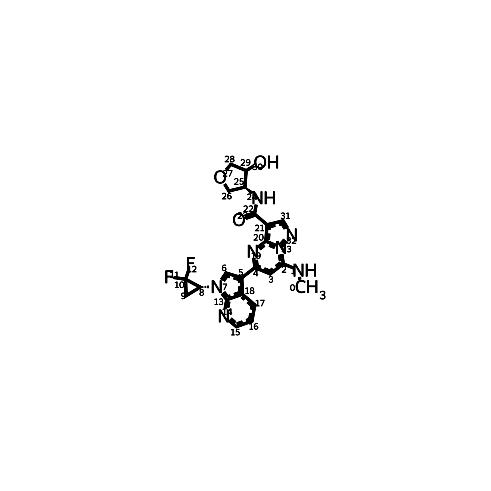 CNc1cc(-c2cn([C@@H]3CC3(F)F)c3ncccc23)nc2c(C(=O)N[C@H]3COCC3O)cnn12